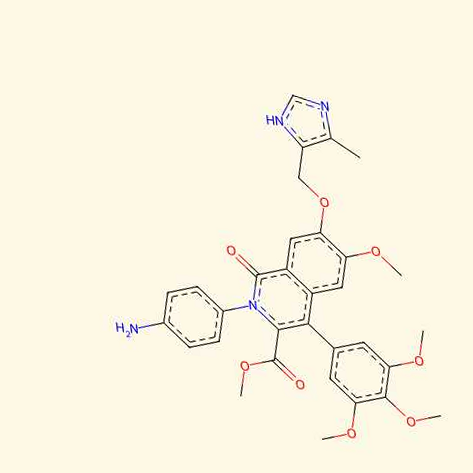 COC(=O)c1c(-c2cc(OC)c(OC)c(OC)c2)c2cc(OC)c(OCc3[nH]cnc3C)cc2c(=O)n1-c1ccc(N)cc1